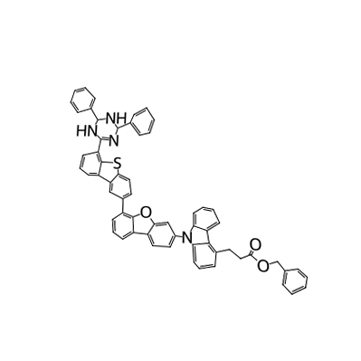 O=C(CCc1cccc2c1c1ccccc1n2-c1ccc2c(c1)oc1c(-c3ccc4sc5c(C6=NC(c7ccccc7)NC(c7ccccc7)N6)cccc5c4c3)cccc12)OCc1ccccc1